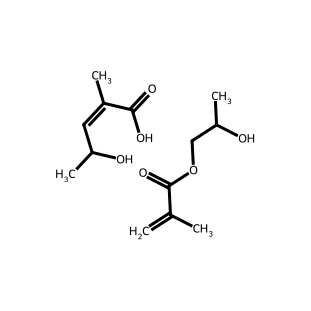 C=C(C)C(=O)OCC(C)O.CC(=CC(C)O)C(=O)O